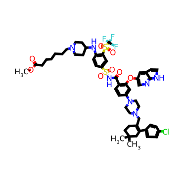 COC(=O)CCCCCCN1CCC(Nc2ccc(S(=O)(=O)NC(=O)c3ccc(N4CCN(CC5=C(c6ccc(Cl)cc6)CC(C)(C)CC5)CC4)cc3Oc3cnc4[nH]ccc4c3)cc2S(=O)(=O)C(F)(F)F)CC1